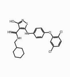 N=C(NCC1CCCCC1)c1c(O)nsc1Nc1ccc(Oc2cc(Cl)ccc2Cl)cc1